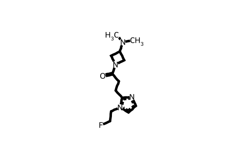 CN(C)C1CN(C(=O)CCc2nccn2CCF)C1